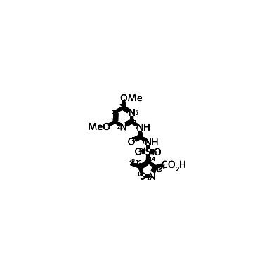 COc1cc(OC)nc(NC(=O)NS(=O)(=O)c2c(C(=O)O)nsc2C)n1